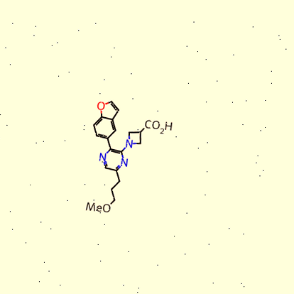 COCCCc1cnc(-c2ccc3occc3c2)c(N2CC(C(=O)O)C2)n1